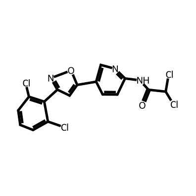 O=C(Nc1ccc(-c2cc(-c3c(Cl)cccc3Cl)no2)cn1)C(Cl)Cl